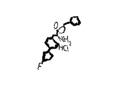 Cl.N[C@@H](Cc1ccc(-c2ccc(F)cc2)cc1)C(=O)OCc1ccccc1